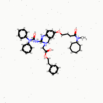 CN(C(=O)CCCOc1ccc2c(c1)CN(CC(=O)OCCc1ccccc1)C(NC(=O)N(c1ccccc1)c1ccccc1)=N2)C1CCCCCC1